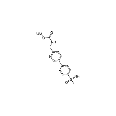 CC(C)(C)OC(=O)NCc1ccc(-c2ccc(S(C)(=N)=O)cc2)cn1